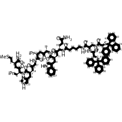 CSCC[C@H](CC(=O)[C@H](CC(C)C)NC(=O)[C@@H](CC(=O)CNC(=O)[C@@H](CC(=O)[C@H](C)NC(=O)[C@@H](CC(=O)[C@H](CCC(N)=O)NC(=O)CCCCNC(=O)C(CNC(=O)CSC(c1ccccc1)(c1ccccc1)c1ccccc1)NC(=O)CSC(c1ccccc1)(c1ccccc1)c1ccccc1)Cc1c[nH]c2ccccc12)C(C)C)Cc1c[nH]cn1)C(N)=O